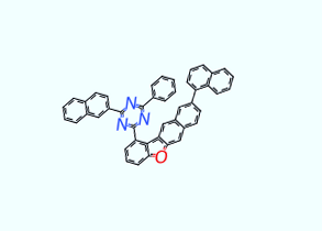 c1ccc(-c2nc(-c3ccc4ccccc4c3)nc(-c3cccc4oc5cc6ccc(-c7cccc8ccccc78)cc6cc5c34)n2)cc1